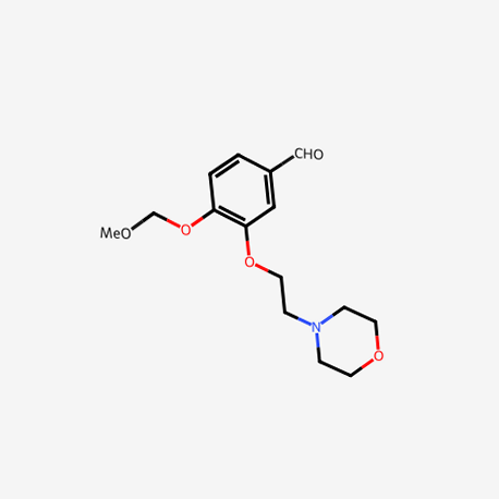 COCOc1ccc(C=O)cc1OCCN1CCOCC1